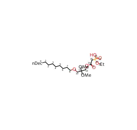 CCCCCCCCCCCCCCCCCCOCC(COC(=O)CP(=O)(O)OCC)(OC)OC